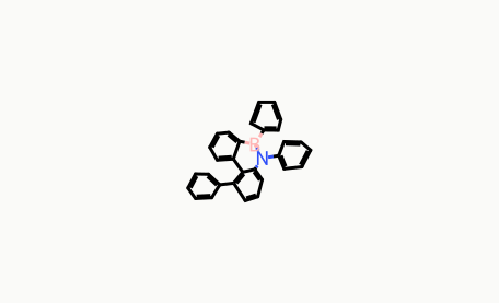 c1ccc(B2c3ccccc3-c3c(-c4ccccc4)cccc3N2c2ccccc2)cc1